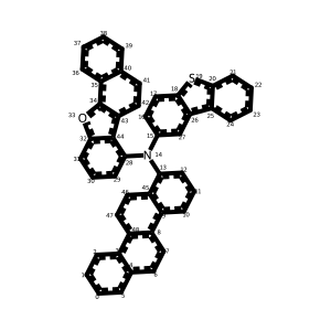 c1ccc2c(c1)ccc1c3cccc(N(c4ccc5sc6ccccc6c5c4)c4cccc5oc6c7ccccc7ccc6c45)c3ccc21